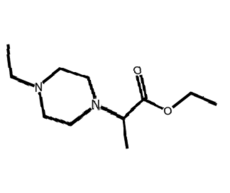 CCOC(=O)C(C)N1CCN(CC)CC1